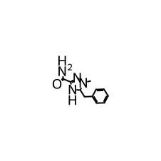 CN1N=C(C(N)=O)NC1Cc1ccccc1